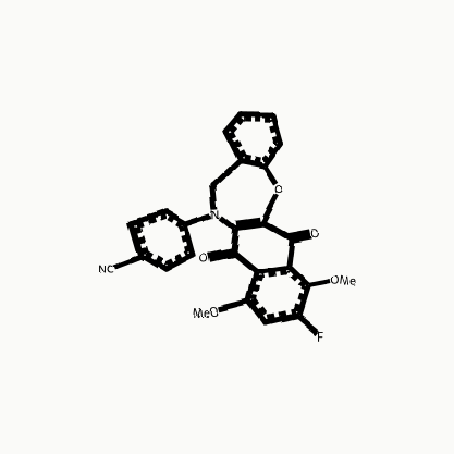 COc1cc(F)c(OC)c2c1C(=O)C1=C(Oc3ccccc3CN1c1ccc(C#N)cc1)C2=O